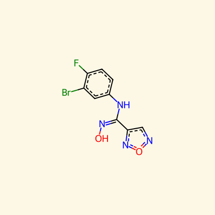 ON=C(Nc1ccc(F)c(Br)c1)c1cnon1